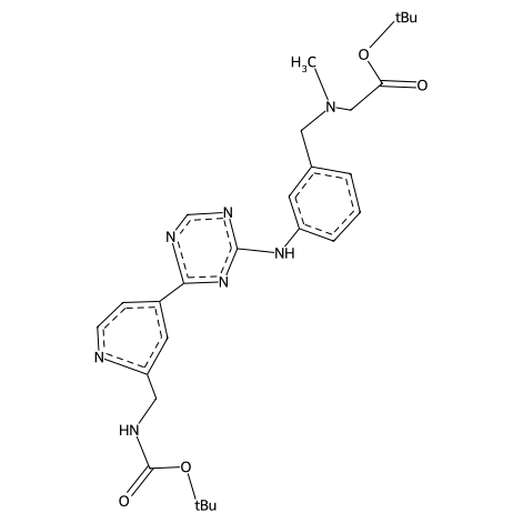 CN(CC(=O)OC(C)(C)C)Cc1cccc(Nc2ncnc(-c3ccnc(CNC(=O)OC(C)(C)C)c3)n2)c1